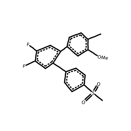 COc1cc(-c2cc(F)c(F)cc2-c2ccc(S(C)(=O)=O)cc2)ccc1C